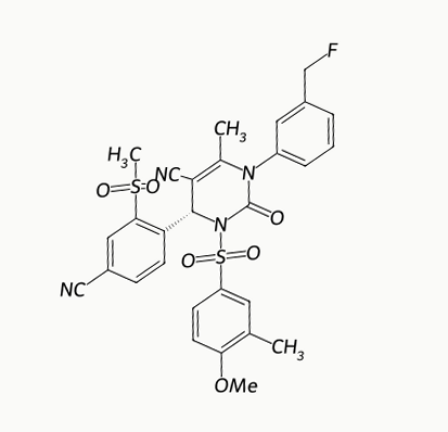 COc1ccc(S(=O)(=O)N2C(=O)N(c3cccc(CF)c3)C(C)=C(C#N)[C@H]2c2ccc(C#N)cc2S(C)(=O)=O)cc1C